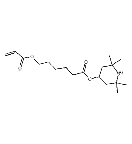 C=CC(=O)OCCCCCC(=O)OC1CC(C)(C)NC(C)(C)C1